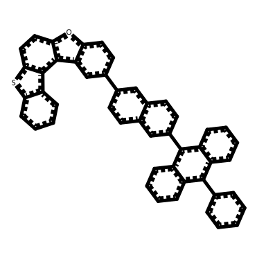 c1ccc(-c2c3ccccc3c(-c3ccc4cc(-c5ccc6oc7ccc8sc9ccccc9c8c7c6c5)ccc4c3)c3ccccc23)cc1